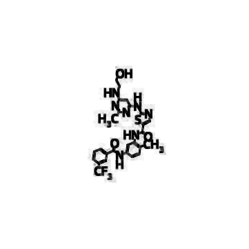 Cc1nc(NCCO)cc(Nc2ncc(C(=O)Nc3cc(NC(=O)c4cccc(C(F)(F)F)c4)ccc3C)s2)n1